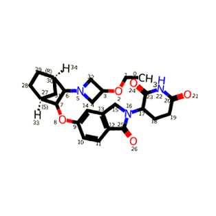 CCOC1CN(C2C(Oc3ccc4c(c3)CN(C3CCC(=O)NC3=O)C4=O)[C@H]3CC[C@@H]2C3)C1